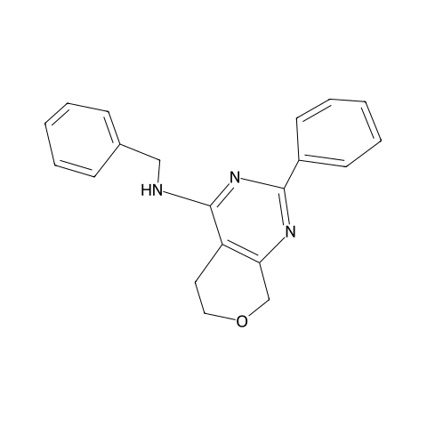 c1ccc(CNc2nc(-c3ccccc3)nc3c2CCOC3)cc1